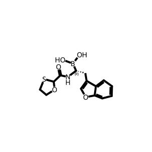 O=C(N[C@@H](Cc1coc2ccccc12)B(O)O)C1OCCS1